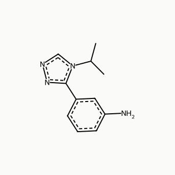 CC(C)n1cnnc1-c1cccc(N)c1